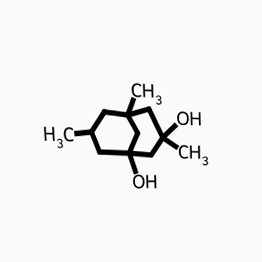 CC1CC2(C)CC(C)(O)CC(O)(C1)C2